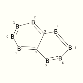 b1bbc2bbbbc2b1